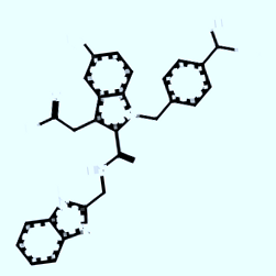 Bc1ccc2c(c1)c(CC(=O)O)c(C(=O)NCc1nc3ccccc3[nH]1)n2Cc1ccc(C(C)C)cc1